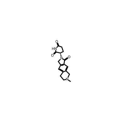 CN1CCc2cc3c(cc2C1)C(=O)N([C@@H]1CCC(=O)NC1=O)C3